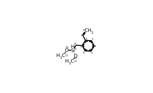 C=Cc1ccccc1C[SiH](OC)OC